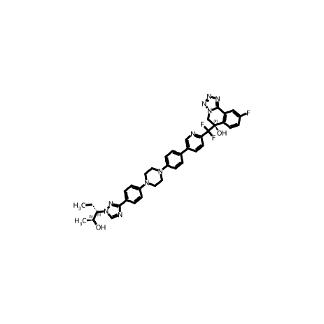 CC[C@@H]([C@H](C)O)n1cnc(-c2ccc(N3CCN(c4ccc(-c5ccc(C(F)(F)[C@]6(O)Cn7nnnc7-c7cc(F)ccc76)nc5)cc4)CC3)cc2)n1